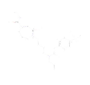 CCCN(CCCCN1CCCN(C(=O)NC)CC1=O)C(C)Cc1ccc(S(C)(=O)=O)cc1